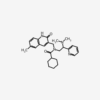 Cc1ccc2[nH]c(=O)c(CN(CC(c3ccccn3)N(C)C)C(=O)C3CCCCC3)cc2c1